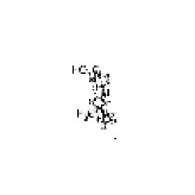 O=C(O)N1CCC(Oc2ccc(C(F)(F)F)c(-n3cccn3)c2)CC1